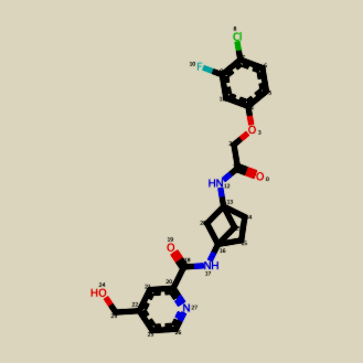 O=C(COc1ccc(Cl)c(F)c1)NC12CCC(NC(=O)c3cc(CO)ccn3)(C1)C2